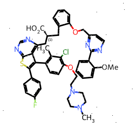 COc1ccccc1-c1nccc(COc2ccccc2C[C@@H](Cc2ncnc3sc(-c4ccc(F)cc4)c(-c4ccc(OCCN5CCN(C)CC5)c(Cl)c4C)c23)C(=O)O)n1